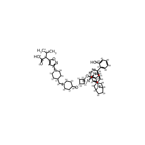 CC(C)C(C(=O)O)c1cc(N2CCC(CN3CCC(O[C@H]4C[C@H](Oc5cc(N6C7CCC6CN(c6cc(-c8ccccc8O)nnc6N)C7)ccn5)C4)CC3)CC2)no1